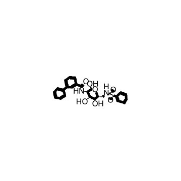 O=C(N[C@H]1[C@@H](O)[C@H](O)[C@@H](CNS(=O)(=O)c2ccccc2)O[C@@H]1O)c1cccc(-c2ccccc2)c1